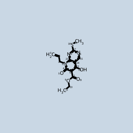 C=CCn1c(=O)c(C(=O)OCC)c(O)c2cnc(SC)nc21